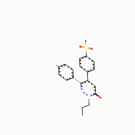 CCCn1nc(-c2ccc(F)cc2)c(-c2ccc(S(C)(=O)=O)cc2)cc1=O